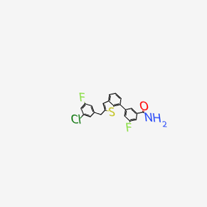 NC(=O)c1cc(F)cc(-c2cccc3cc(Cc4cc(F)cc(Cl)c4)sc23)c1